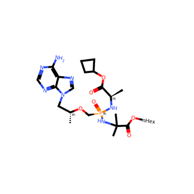 CCCCCCOC(=O)C(C)(C)N[P@@](=O)(CO[C@H](C)Cn1cnc2c(N)ncnc21)N[C@H](C)C(=O)OC1CCC1